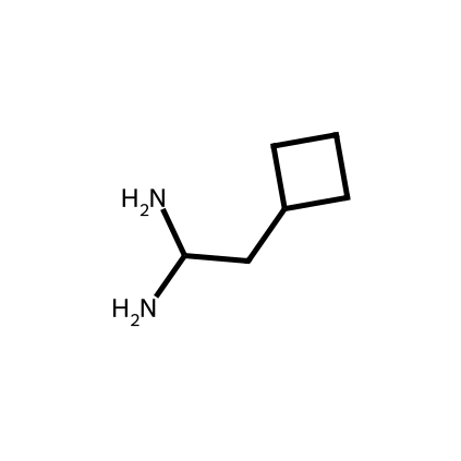 NC(N)CC1CCC1